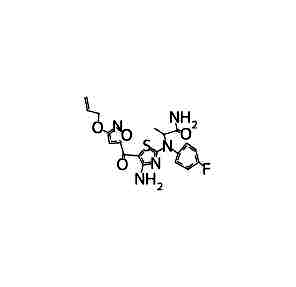 C=CCOc1cc(C(=O)c2sc(N(c3ccc(F)cc3)C(C)C(N)=O)nc2N)on1